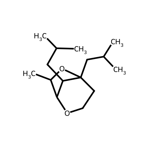 CC(C)CC1C2OCCC1(CC(C)C)OC2C